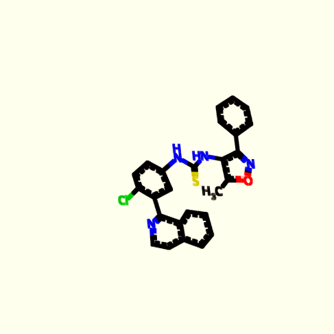 Cc1onc(-c2ccccc2)c1NC(=S)Nc1ccc(Cl)c(-c2nccc3ccccc23)c1